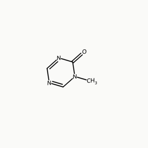 Cn1cncnc1=O